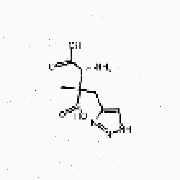 C[C@](Cc1c[nH]nn1)([C@@H](N)C(=O)O)S(=O)O